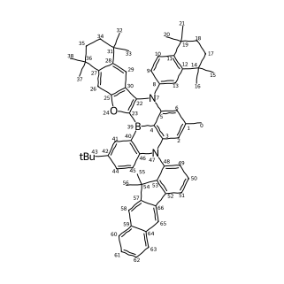 Cc1cc2c3c(c1)N(c1ccc4c(c1)C(C)(C)CCC4(C)C)c1c(oc4cc5c(cc14)C(C)(C)CCC5(C)C)B3c1cc(C(C)(C)C)ccc1N2c1cccc2c1C(C)(C)c1cc3ccccc3cc1-2